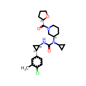 Cc1cc([C@@H]2C[C@H]2NC(=O)N(C2CC2)[C@@H]2CCCN(C(=O)[C@@H]3CCCO3)C2)ccc1Cl